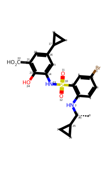 C[C@@H](Nc1ccc(Br)cc1S(=O)(=O)Nc1cc(C2CC2)cc(C(=O)O)c1O)C1CC1